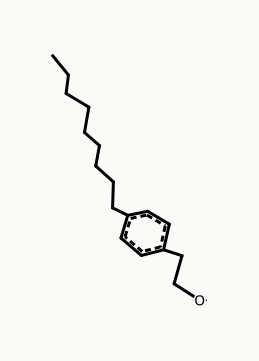 CCCCCCCCCc1ccc(CC[O])cc1